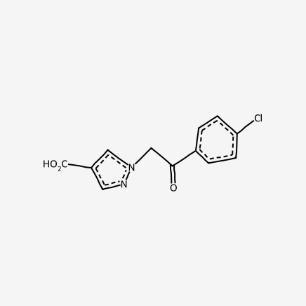 O=C(O)c1cnn(CC(=O)c2ccc(Cl)cc2)c1